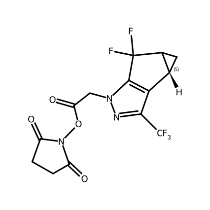 O=C(Cn1nc(C(F)(F)F)c2c1C(F)(F)C1C[C@H]21)ON1C(=O)CCC1=O